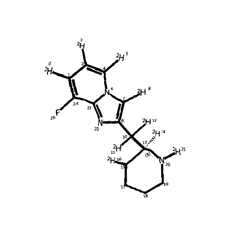 [2H]c1c([2H])c([2H])n2c([2H])c(C([2H])([2H])[C@]3([2H])C([2H])CCCN3[2H])nc2c1F